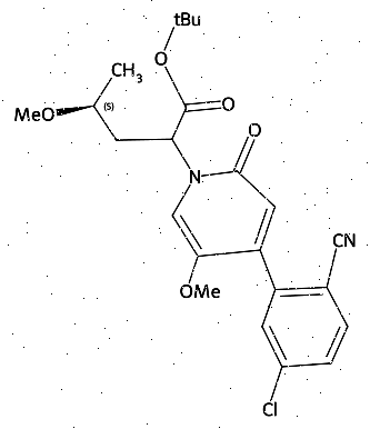 COc1cn(C(C[C@H](C)OC)C(=O)OC(C)(C)C)c(=O)cc1-c1cc(Cl)ccc1C#N